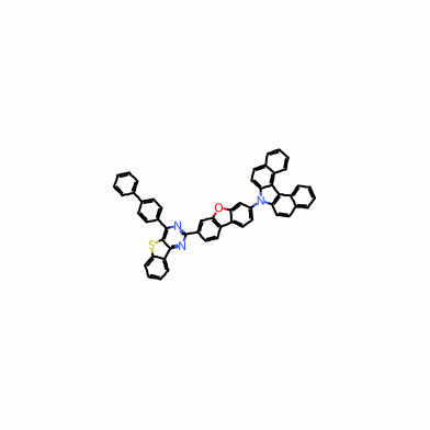 c1ccc(-c2ccc(-c3nc(-c4ccc5c(c4)oc4cc(-n6c7ccc8ccccc8c7c7c8ccccc8ccc76)ccc45)nc4c3sc3ccccc34)cc2)cc1